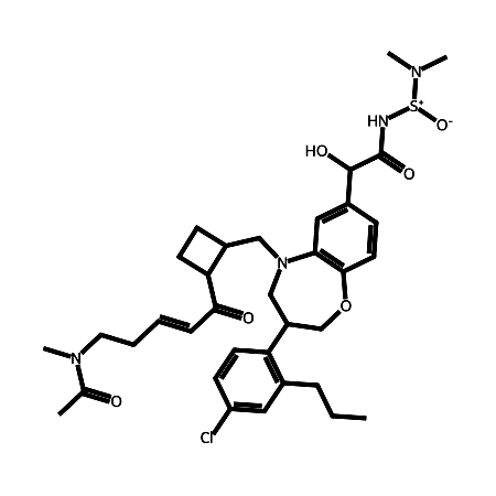 CCCc1cc(Cl)ccc1C1COc2ccc(C(O)C(=O)N[S+]([O-])N(C)C)cc2N(CC2CCC2C(=O)/C=C/CCN(C)C(C)=O)C1